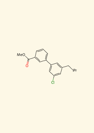 COC(=O)c1cccc(-c2cc(Cl)cc(CC(C)C)c2)c1